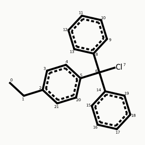 CCc1ccc(C(Cl)(c2ccccc2)c2ccccc2)cc1